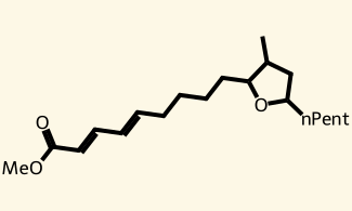 CCCCCC1CC(C)C(CCCCC=CC=CC(=O)OC)O1